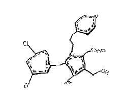 CC(C)c1c(CO)c(C=O)n(Cc2ccncc2)c1-c1cc(Cl)cc(Cl)c1